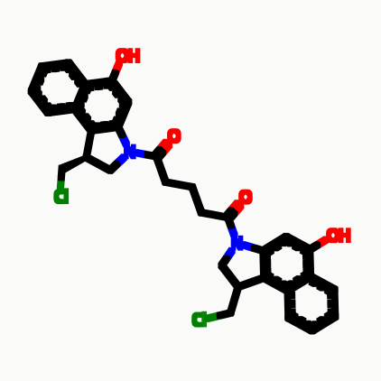 O=C(CCCC(=O)N1C[C@@H](CCl)c2c1cc(O)c1ccccc21)N1CC(CCl)c2c1cc(O)c1ccccc21